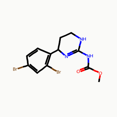 COC(=O)NC1=NC(c2ccc(Br)cc2Br)CCN1